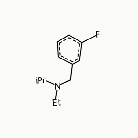 CCN(Cc1cccc(F)c1)C(C)C